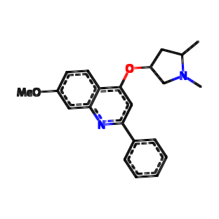 COc1ccc2c(OC3CC(C)N(C)C3)cc(-c3ccccc3)nc2c1